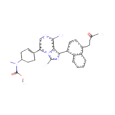 COC(=O)Cc1ccc(-c2nc(C(C)C)n3c(C4=CCC(N(C)C(=O)OC(C)(C)C)CC4)cnc(N)c23)c2ccccc12